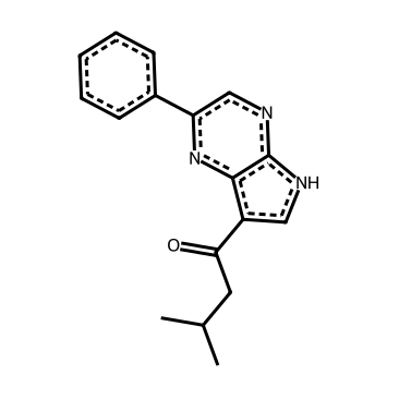 CC(C)CC(=O)c1c[nH]c2ncc(-c3ccccc3)nc12